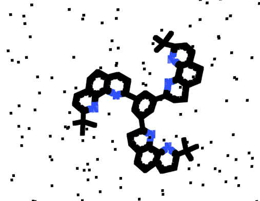 CC(C)(C)c1ccc2ccc3ccc(-c4cc(-c5ccc6ccc7ccc(C(C)(C)C)nc7c6n5)cc(-c5ccc6ccc7ccc(C(C)(C)C)nc7c6n5)c4)nc3c2n1